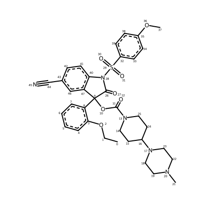 CCOc1ccccc1C1(OC(=O)N2CCC(N3CCN(C)CC3)CC2)C(=O)N(S(=O)(=O)c2ccc(OC)cc2)c2ccc(C#N)cc21